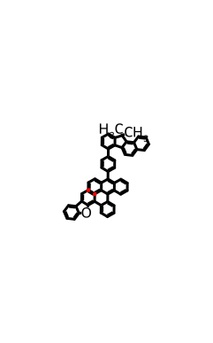 CC1(C)c2cccc(-c3ccc(-c4c5ccccc5c(-c5ccccc5-c5cccc6c5oc5ccccc56)c5ccccc45)cc3)c2-c2ccc3ccccc3c21